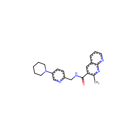 Cc1nc2ncccc2cc1C(=O)NCc1ccc(N2CCCCC2)cn1